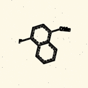 COc1ccc(F)c2ccccc12